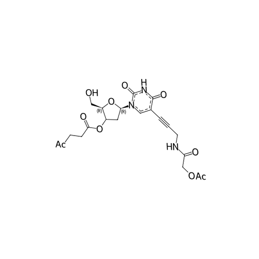 CC(=O)CCC(=O)OC1C[C@H](n2cc(C#CCNC(=O)COC(C)=O)c(=O)[nH]c2=O)O[C@@H]1CO